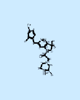 Cc1cc(F)ccc1Cc1cc2c(nn1)C(C)(C)CN2C(=O)CN1CCN[C@H](C)C1